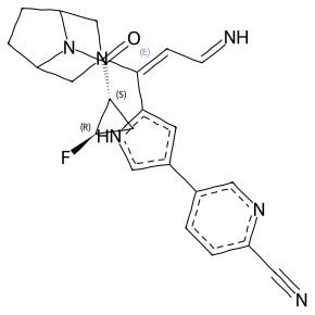 N#Cc1ccc(-c2c[nH]c(/C(=C\C=N)N3CC4CCC(C3)N4C(=O)[C@@H]3C[C@H]3F)c2)cn1